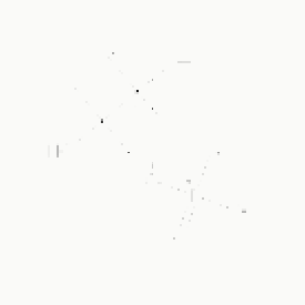 CC(C)(O)C(C)(C)O.CP(=O)(O)O